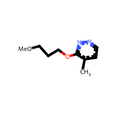 COCCCOc1nnccc1C